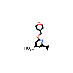 O=C(O)c1cc(OCC2CCOCC2)nc(C2CC2)c1